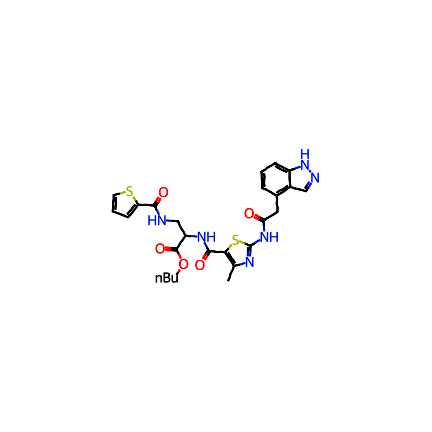 CCCCOC(=O)C(CNC(=O)c1cccs1)NC(=O)c1sc(NC(=O)Cc2cccc3[nH]ncc23)nc1C